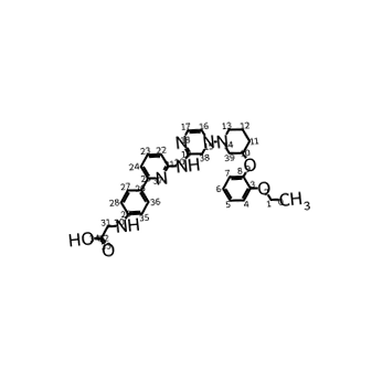 CCOc1ccccc1O[C@@H]1CCCN(N2C=CN=C(Nc3cccc(-c4ccc(NCC(=O)O)cc4)n3)C2)C1